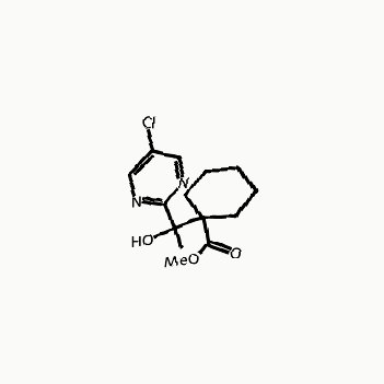 COC(=O)C1(C(C)(O)c2ncc(Cl)cn2)CCCCC1